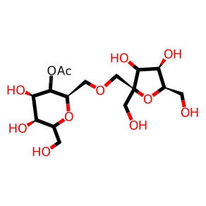 CC(=O)OC1[C@@H](COC[C@]2(CO)O[C@H](CO)[C@H](O)C2O)OC(CO)[C@@H](O)[C@H]1O